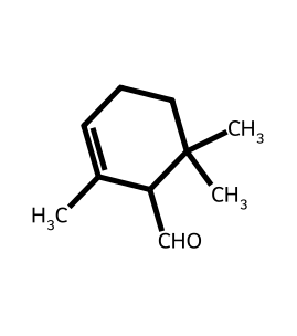 CC1=CCCC(C)(C)C1C=O